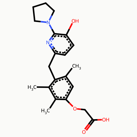 Cc1cc(OCC(=O)O)c(C)c(C)c1Cc1ccc(O)c(N2CCCC2)n1